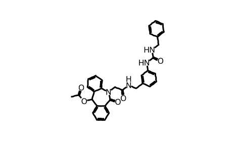 CC(=O)OC1c2ccccc2C(=O)N(CC(=O)NCc2cccc(NC(=O)NCc3ccccc3)c2)c2ccccc21